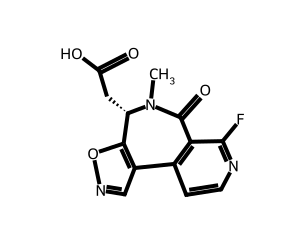 CN1C(=O)c2c(ccnc2F)-c2cnoc2[C@@H]1CC(=O)O